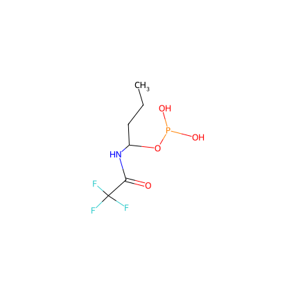 CCCC(NC(=O)C(F)(F)F)OP(O)O